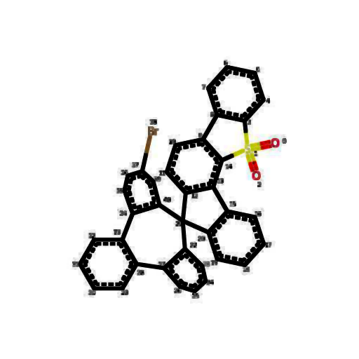 O=S1(=O)c2ccccc2-c2ccc3c(c21)-c1ccccc1C31c2ccccc2-c2ccccc2-c2ccc(Br)cc21